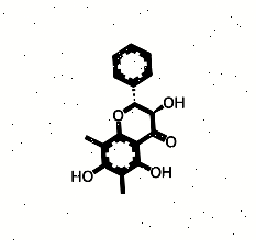 Cc1c(O)c(C)c2c(c1O)C(=O)[C@H](O)[C@@H](c1ccccc1)O2